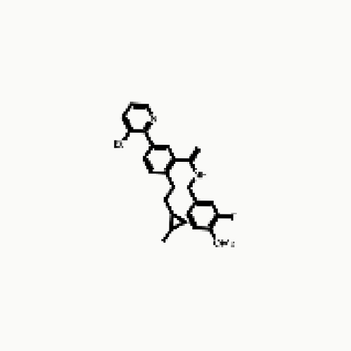 C=C(NCc1ccc(OC)c(F)c1)c1cc(-c2ncccc2CC)ccc1CCC1CC1C